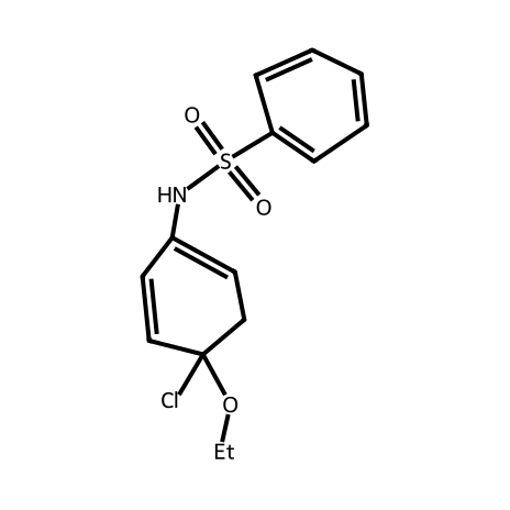 CCOC1(Cl)C=CC(NS(=O)(=O)c2ccccc2)=CC1